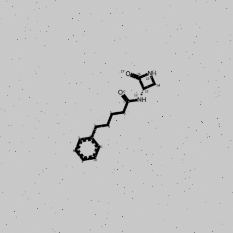 O=C(CCCCc1ccccc1)N[C@H]1CNC1=O